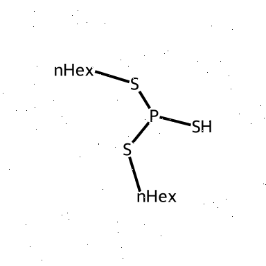 CCCCCCSP(S)SCCCCCC